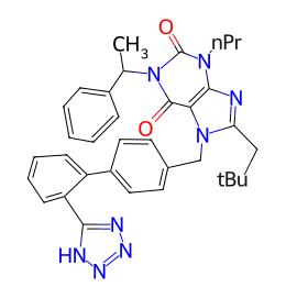 CCCn1c(=O)n(C(C)c2ccccc2)c(=O)c2c1nc(CC(C)(C)C)n2Cc1ccc(-c2ccccc2-c2nnn[nH]2)cc1